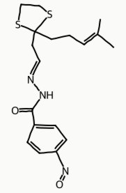 CC(C)=CCCC1(C/C=N/NC(=O)c2ccc(N=O)cc2)SCCS1